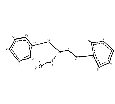 OC[C@@H](CCc1ccccc1)Cc1ccccc1